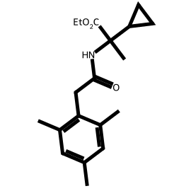 CCOC(=O)C(C)(NC(=O)Cc1c(C)cc(C)cc1C)C1CC1